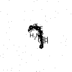 COc1cccc(C(=O)Nc2cc(-c3csc(-c4sc(NC(=O)NCCN5CCCC5)nc4N)n3)c(F)cc2F)c1